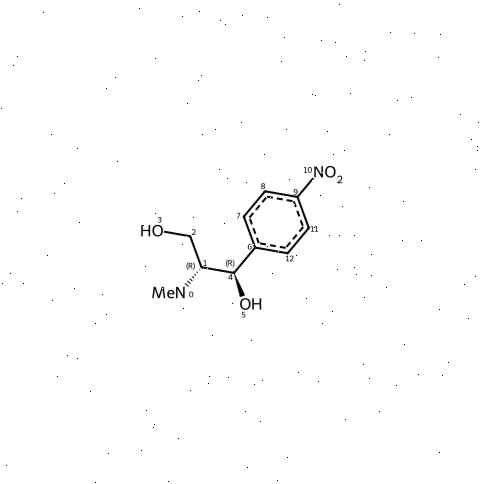 CN[C@H](CO)[C@H](O)c1ccc([N+](=O)[O-])cc1